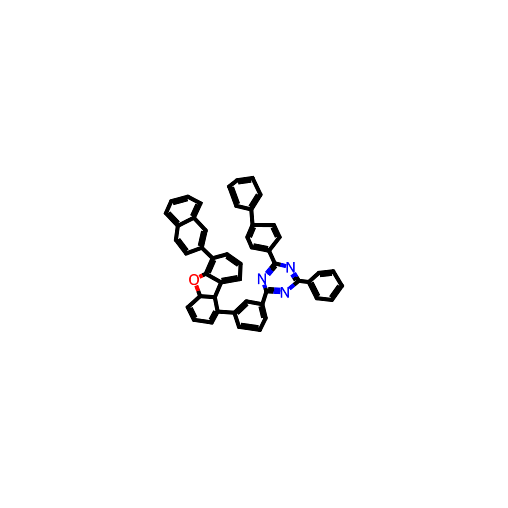 C1=CC2Oc3c(-c4ccc5ccccc5c4)cccc3C2C(c2cccc(-c3nc(-c4ccccc4)nc(-c4ccc(-c5ccccc5)cc4)n3)c2)=C1